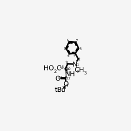 CN(Cc1ccccc1)C[C@H](NC(=O)OC(C)(C)C)C(=O)O